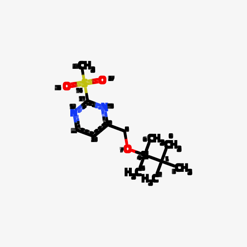 CC(C)(C)[Si](C)(C)OCc1ccnc(S(C)(=O)=O)n1